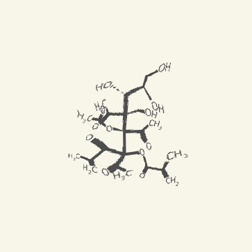 C=C(C)C(=O)OC(C(C)=O)(C(=O)C(=C)C)[C@@](OC(C)=O)(C(C)=O)[C@](O)(C(C)=O)[C@H](O)[C@H](O)CO